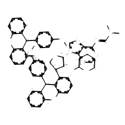 COc1ccc(C2c3ccccc3Oc3cccc(OC[C@H]4O[C@@H](n5cnc6c(N=CN(C)C)ncnc65)[C@H](OC5CCCCO5)[C@@]4(O)c4cccc5c4C(c4ccc(OC)cc4)c4ccccc4O5)c32)cc1